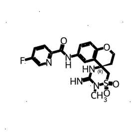 CN1C(=N)N[C@@]2(CCOc3ccc(NC(=O)c4ccc(F)cn4)cc32)CS1(=O)=O